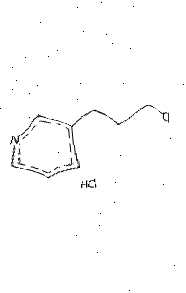 Cl.ClCCCc1cccnc1